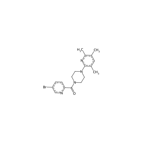 Cc1cc(C)c(N2CCN(C(=O)c3ccc(Br)cn3)CC2)nc1C